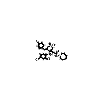 O=C(NN1CCCCCC1)c1nn(-c2ccc(Cl)cc2Cl)c2c1CS(=O)(=O)C/C2=C\c1ccc(F)cc1